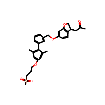 CC(=O)CC1COc2cc(OCc3cccc(-c4c(C)cc(OCCCS(C)(=O)=O)cc4C)c3)ccc21